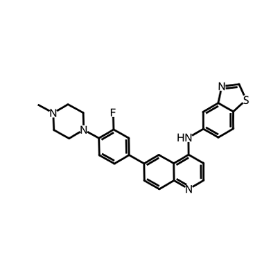 CN1CCN(c2ccc(-c3ccc4nccc(Nc5ccc6scnc6c5)c4c3)cc2F)CC1